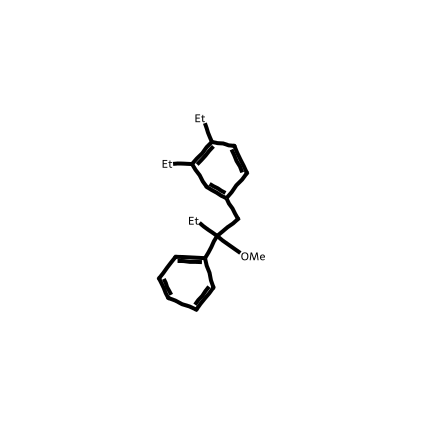 CCc1ccc(CC(CC)(OC)c2ccccc2)cc1CC